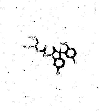 COc1ccc(Cl)cc1C1(F)C(=O)N(NC(=O)NC(CC(=O)O)C(=O)O)c2cc(C(F)(F)F)ccc21